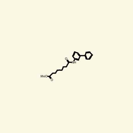 COC(=O)CCCCCCC(=O)Nc1cccc(-c2ccccc2)c1